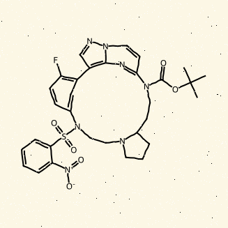 CC(C)(C)OC(=O)N1CCC2CCCN2CCN(S(=O)(=O)c2ccccc2[N+](=O)[O-])c2ccc(F)c(c2)-c2cnn3ccc1nc23